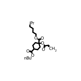 C=CC(=O)OC1(C(=O)OCCCCC(C)C)CCC(C(=O)OCCCC)CC1